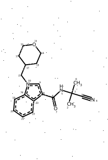 CC(C)(C#N)NC(=O)c1cn(CC2CCOCC2)c2ccccc12